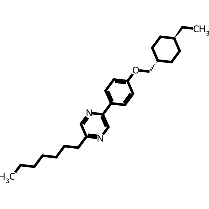 CCCCCCCc1cnc(-c2ccc(OC[C@H]3CC[C@H](CC)CC3)cc2)cn1